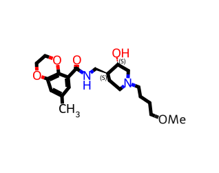 COCCCCN1CC[C@@H](CNC(=O)c2cc(C)cc3c2OCCO3)[C@H](O)C1